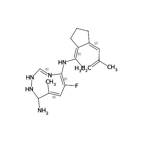 C=C(C)/C=C1/CCC/C1=C(/C)NC1=C(F)/C=C(\C)C(N)NN\C=N\1